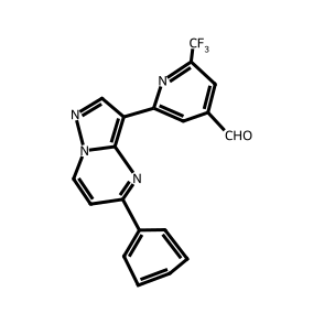 O=Cc1cc(-c2cnn3ccc(-c4ccccc4)nc23)nc(C(F)(F)F)c1